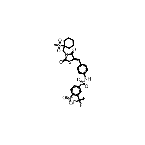 CS(=O)(=O)C1(CN2C(=O)S/C(=C\c3ccc(NS(=O)(=O)c4ccc([N+](=O)[O-])c(C(F)(F)F)c4)cc3)C2=O)CCCCC1